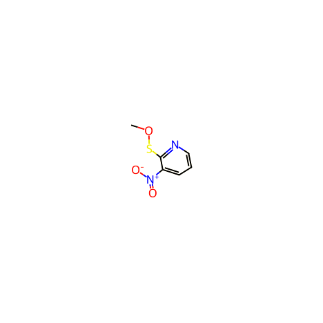 COSc1ncccc1[N+](=O)[O-]